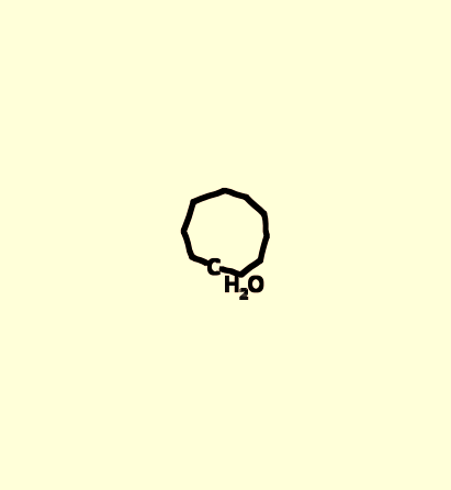 C1CCCCCCCCC1.O